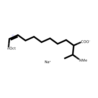 CCCCCCCC/C=C\CCCCCCC(C(=O)[O-])C(C)NC.[Na+]